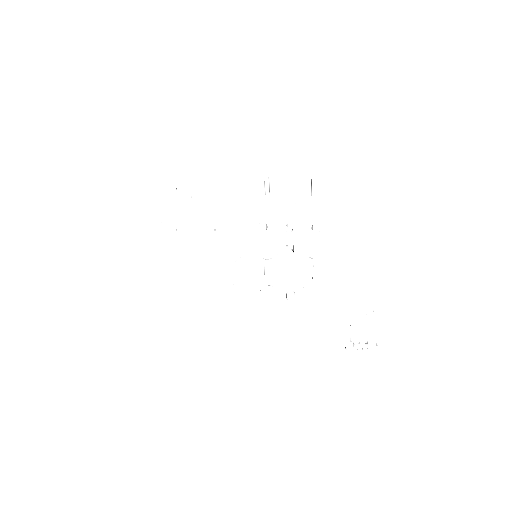 COC(=O)CC[C@H]1CN(S(=O)(=O)c2cccc(C(F)(F)F)c2)c2cc(C=CB3OC(C)CC(C)(C)O3)ccc2O1